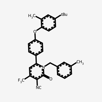 [C-]#[N+]c1c(C(F)(F)F)cc(-c2ccc(Oc3ccc(C(C)(C)C)cc3C)cc2)n(Cc2cccc(C)c2)c1=O